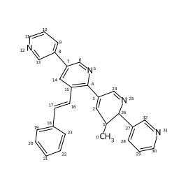 CC1C=C(c2ncc(-c3cccnc3)cc2/C=C/c2ccccc2)C=NC1c1cccnc1